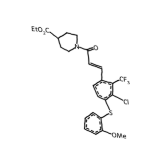 CCOC(=O)C1CCN(C(=O)C=Cc2ccc(Sc3ccccc3OC)c(Cl)c2C(F)(F)F)CC1